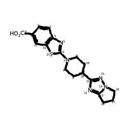 O=C(O)c1ccc2nc(N3CCC(c4nc5n(n4)CCC5)CC3)sc2c1